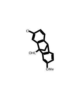 COc1ccc2c(c1)C1(C=O)CC2c2ccc(Cl)cc21